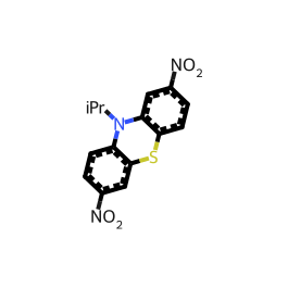 CC(C)N1c2ccc([N+](=O)[O-])cc2Sc2ccc([N+](=O)[O-])cc21